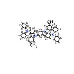 Cc1ccc2c3c(N(c4ccccc4)c4ccccc4)ccc4c5cc6c(cc5n(c2c1)c43)c1ccc(N(c2ccccc2)c2ccccc2)c2c3ccc(C)cc3n6c12